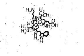 CC(C)[C@H](NC(=O)[C@H](CCCCN)NC(=O)[C@@H](NC(=O)[C@@H](N)Cc1c[nH]c2ccccc12)C(C)C)C(=O)C[C@@H](CCC(=O)O)C(N)=O